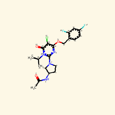 [CH2]C(=O)N[C@@H]1CCN(c2nc(OCc3ccc(F)cc3F)c(Cl)c(=O)n2C(C)C)C1